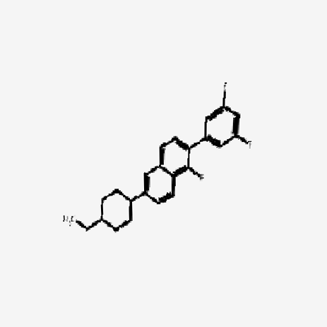 CCC1CCC(c2ccc3c(F)c(-c4cc(F)cc(F)c4)ccc3c2)CC1